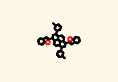 Cc1cccc(-c2cc(-c3cc4ccccc4o3)c3ccc4c(-c5cccc(C)c5)cc(-c5cc6ccccc6o5)c5ccc2c3c45)c1